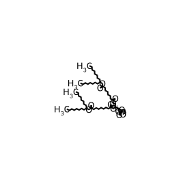 CCCCCCCCC(CCCCCCCC)OC(=O)CCCCCCCC(=O)O[C@@H](COC(=O)CCCCCCC(=O)OC(CCCCCCCC)CCCCCCCC)COP1(=O)OCCO1